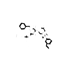 CC(C)CN(CC[C@@H](COCc1ccccc1)NC(=O)OC(C)(C)C)S(=O)(=O)c1ccc2occc2c1